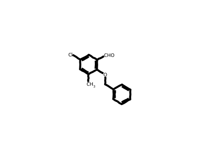 Cc1cc(Cl)cc(C=O)c1OCc1ccccc1